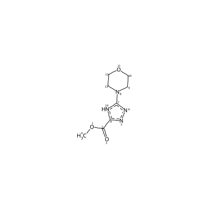 COC(=O)c1nnc(N2CCOCC2)[nH]1